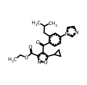 CCOC(=O)c1noc(C2CC2)c1C(=O)c1ccc(-n2ccnc2)cc1CC(C)C